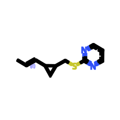 C/C=C/C1CC1CSc1ncccn1